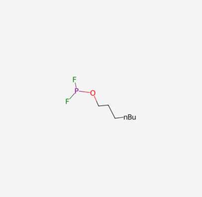 CCCCCCCOP(F)F